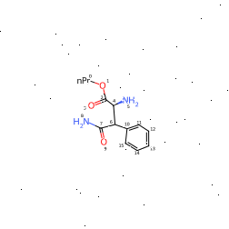 CCCOC(=O)[C@@H](N)C(C(N)=O)c1ccccc1